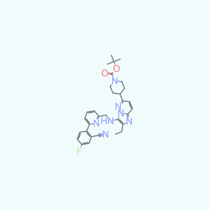 CCc1nc2ccc(C3CCN(C(=O)OC(C)(C)C)CC3)nn2c1NCc1cccc(-c2ccc(F)cc2C#N)n1